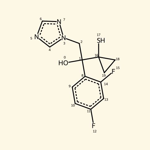 OC(Cn1cncn1)(c1ccc(F)cc1F)C1(S)CC1